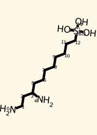 NCCC(N)CCCCCCCC[Si](O)(O)O